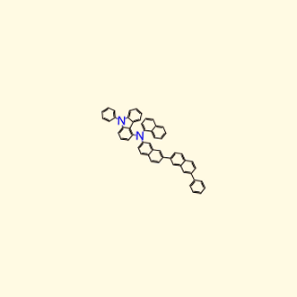 c1ccc(-c2ccc3ccc(-c4ccc5ccc(N(c6cccc7ccccc67)c6cccc7c6c6ccccc6n7-c6ccccc6)cc5c4)cc3c2)cc1